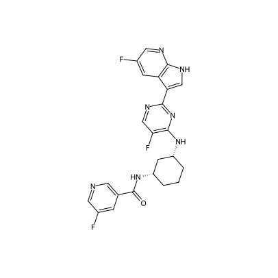 O=C(N[C@H]1CCC[C@@H](Nc2nc(-c3c[nH]c4ncc(F)cc34)ncc2F)C1)c1cncc(F)c1